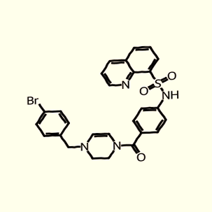 O=C(c1ccc(NS(=O)(=O)c2cccc3cccnc23)cc1)N1C=CN(Cc2ccc(Br)cc2)CC1